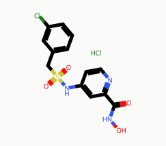 Cl.O=C(NO)c1cc(NS(=O)(=O)Cc2cccc(Cl)c2)ccn1